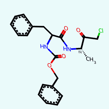 C[C@H](NC(=O)C(Cc1ccccc1)NC(=O)OCc1ccccc1)C(=O)CCl